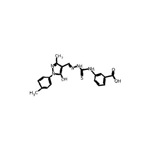 Cc1ccc(-n2nc(C)c(/C=N/NC(=S)Nc3cccc(C(=O)O)c3)c2O)cc1